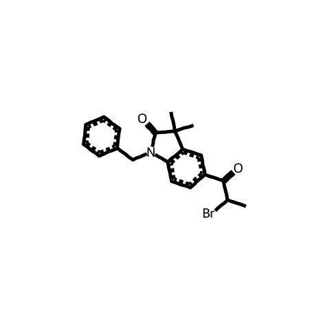 CC(Br)C(=O)c1ccc2c(c1)C(C)(C)C(=O)N2Cc1ccccc1